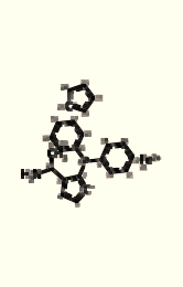 C[C@H](N)c1cc[cH-]c1P(c1ccccc1)c1ccccc1.[Fe+2].c1cc[cH-]c1